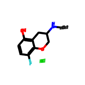 CCCCCCCCNC1COc2c(F)ccc(O)c2C1.Cl